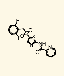 O=C(Nc1ncc(S(=O)(=O)Cc2c(F)cccc2F)s1)c1ccccn1